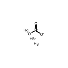 Br.O=[N+]([O-])[O-].[Hg].[Hg]